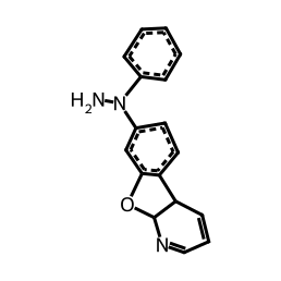 NN(c1ccccc1)c1ccc2c(c1)OC1N=CC=CC21